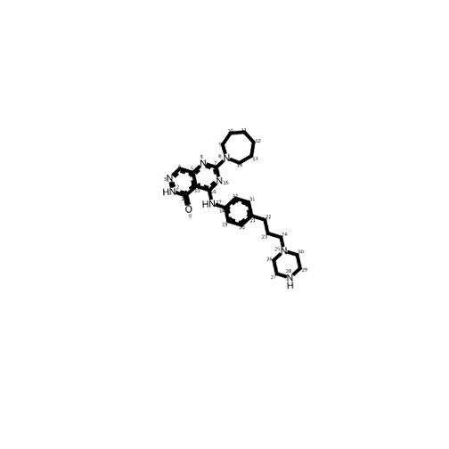 O=c1[nH]ncc2nc(N3CCCCCC3)nc(Nc3ccc(CCCN4CCNCC4)cc3)c12